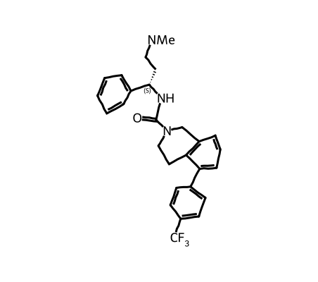 CNCC[C@H](NC(=O)N1CCc2c(cccc2-c2ccc(C(F)(F)F)cc2)C1)c1ccccc1